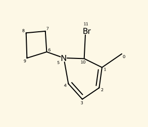 CC1=CC=CN(C2CCC2)C1Br